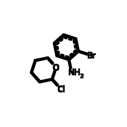 ClC1CCCCO1.Nc1ccccc1Br